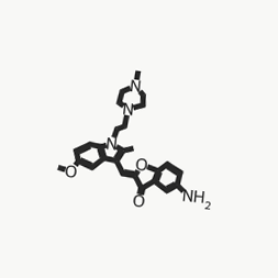 COc1ccc2c(c1)c(/C=C1\Oc3ccc(N)cc3C1=O)c(C)n2CCN1CCN(C)CC1